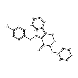 Oc1ccc(Cn2c3c(c4ccccc42)CCN(Cc2ccccc2)C3=S)cc1